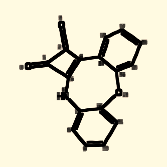 O=c1c(=O)c2c1[nH]c1ccccc1oc1ccccc12